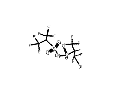 O=S(=O)(NS(=O)(=O)C(F)(C(F)(F)F)C(F)(F)F)C(C(F)(F)F)C(F)(F)F